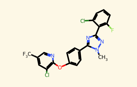 Cn1nc(-c2c(F)cccc2Cl)nc1-c1ccc(Oc2ncc(C(F)(F)F)cc2Cl)cc1